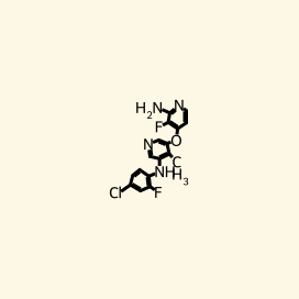 Cc1c(Nc2ccc(Cl)cc2F)cncc1Oc1ccnc(N)c1F